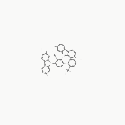 Cc1ccc2c3ccc(C)cc3n(-c3ccc(-c4ccccc4C(F)(F)F)c(-n4c5cc(C)ccc5c5ccc(C)cc54)c3C#N)c2c1